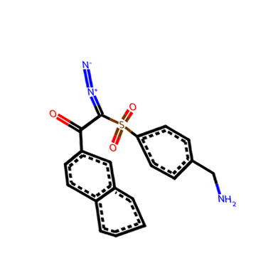 [N-]=[N+]=C(C(=O)c1ccc2ccccc2c1)S(=O)(=O)c1ccc(CN)cc1